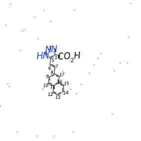 O=C(O)c1nn[nH]c1/C=C/c1ccc2ccccc2c1